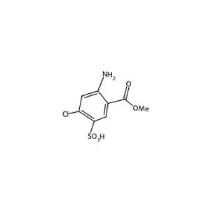 COC(=O)c1cc(S(=O)(=O)O)c(Cl)cc1N